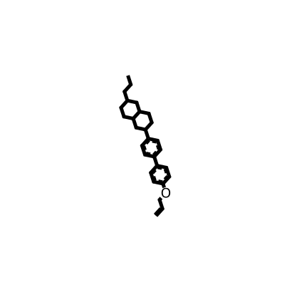 C=CCOc1ccc(-c2ccc(C3CCC4CC(CCC)CCC4C3)cc2)cc1